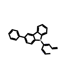 C=C/C=C(\C=C/C)n1c2ccccc2c2cc(-c3ccccc3)ccc21